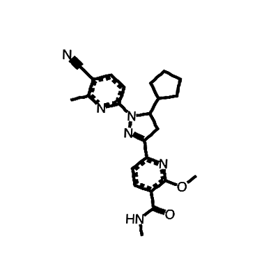 CNC(=O)c1ccc(C2=NN(c3ccc(C#N)c(C)n3)C(C3CCCC3)C2)nc1OC